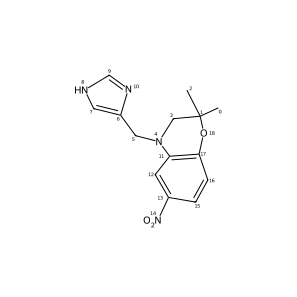 CC1(C)CN(Cc2c[nH]cn2)c2cc([N+](=O)[O-])ccc2O1